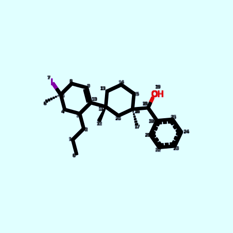 CCCC1C[C@@](C)(I)CC=C1[C@]1(C)CCC[C@@](C)(C(O)c2ccccc2)C1